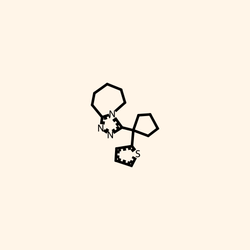 c1csc(C2(c3nnc4n3CCCCC4)CCCC2)c1